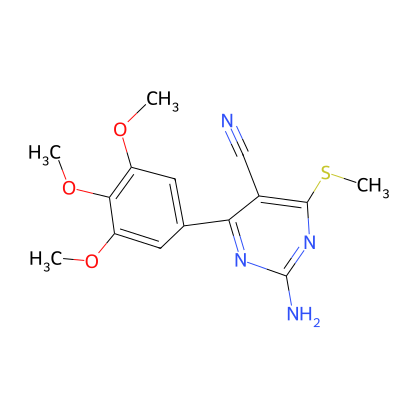 COc1cc(-c2nc(N)nc(SC)c2C#N)cc(OC)c1OC